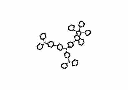 c1ccc(-c2c(-c3ccccc3)n(-c3ccccc3)c3c2cc(-c2ccc(N(c4ccc(-c5ccc(N(c6ccccc6)c6ccccc6)cc5)cc4)c4ccc(N(c5ccccc5)c5ccccc5)cc4)cc2)c2ccccc23)cc1